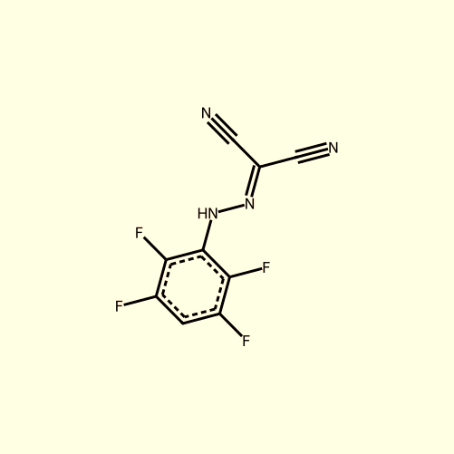 N#CC(C#N)=NNc1c(F)c(F)cc(F)c1F